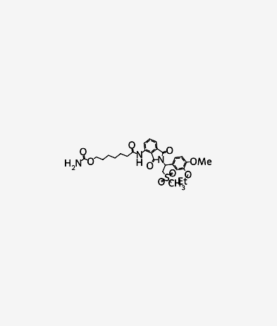 CCOc1cc(C(CS(C)(=O)=O)N2C(=O)c3cccc(NC(=O)CCCCCCOC(N)=O)c3C2=O)ccc1OC